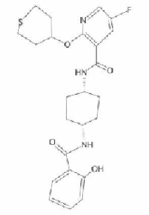 O=C(N[C@H]1CC[C@@H](NC(=O)c2cc(F)cnc2OC2CCSCC2)CC1)c1ccccc1O